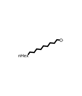 [CH2]CCCCCCCCCCCCCC[O]